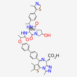 Cc1ncsc1-c1ccc(C(C)NC(=O)[C@@H]2C[C@@H](O)CN2C(=O)C(NC(=O)C(C)Oc2ccc(-c3ccc(C4=N[C@@H](CC(=O)O)c5nnc(C)n5-c5sc(C)c(C)c54)cc3)cc2)C(C)(C)C)cc1